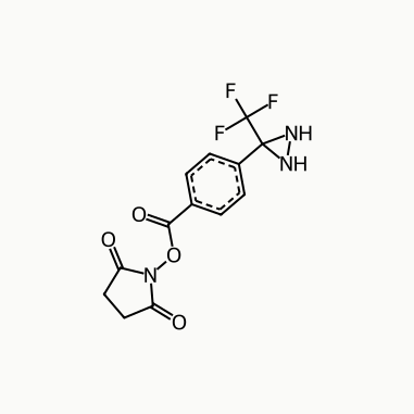 O=C(ON1C(=O)CCC1=O)c1ccc(C2(C(F)(F)F)NN2)cc1